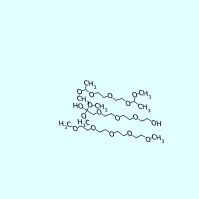 COC(C)OCCOCCOC(C)OC.COC(O)(COCCOCCOCCO)OC.COCCOCCOCCOCCOC